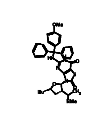 CC[C@H](C)[C@@H]1C[C@@H]([C@@H](C)NC)[C@H](n2c(=O)sc3c(=O)[nH]c(NC(c4ccccc4)(c4ccccc4)c4ccc(OC)cc4)nc32)O1